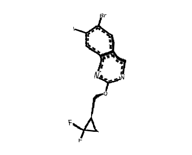 FC1(F)C[C@@H]1COc1ncc2cc(Br)c(I)cc2n1